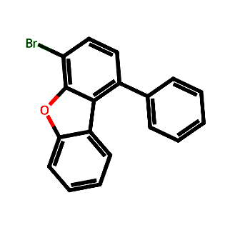 Brc1ccc(-c2ccccc2)c2c1oc1ccccc12